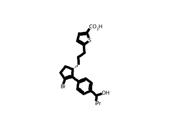 CC(C)C(O)c1ccc(C2=C(Br)CC[C@@H]2CCCc2ccc(C(=O)O)s2)cc1